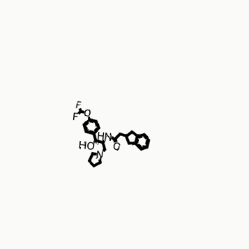 O=C(CC1Cc2ccccc2C1)NC(CN1CCCC1)[C@H](O)c1ccc(OC(F)F)cc1